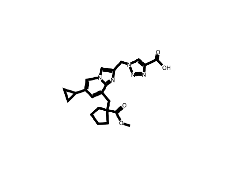 COC(=O)C1(Cc2cc(C3CC3)cn3cc(Cn4cc(C(=O)O)nn4)nc23)CCCC1